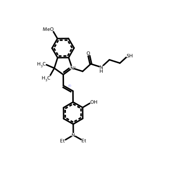 CCN(CC)c1ccc(/C=C/C2=[N+](CC(=O)NCCS)c3ccc(OC)cc3C2(C)C)c(O)c1